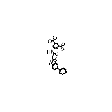 COC(=O)c1cc(NC(=O)Cc2nc3ccc(-c4ccccc4)cc3s2)cc(C(=O)OC)c1